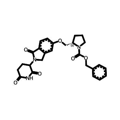 O=C1CCC(N2Cc3cc(OC[C@@H]4CCCN4C(=O)OCc4ccccc4)ccc3C2=O)C(=O)N1